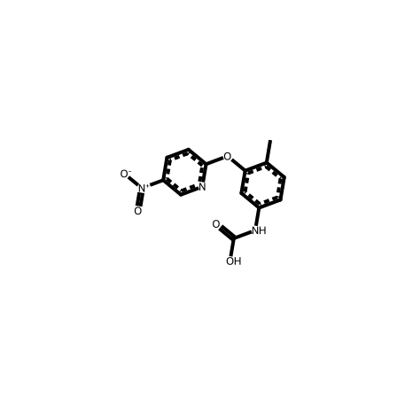 Cc1ccc(NC(=O)O)cc1Oc1ccc([N+](=O)[O-])cn1